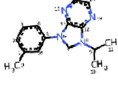 Cc1cccc(N2CN(C(C)C)c3nccnc32)c1